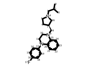 CC(C)CN1CC[C@H](CN2CCN(c3ccc(F)cc3)c3ccccc32)C1